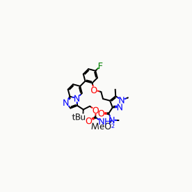 CON(C)C(=O)c1nn(C)c(C)c1CCOc1cc(F)ccc1-c1ccc2ncc(C(COC(N)=O)C(C)(C)C)n2c1